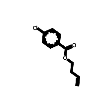 C=CCCOC(=O)c1ccc(Cl)cc1